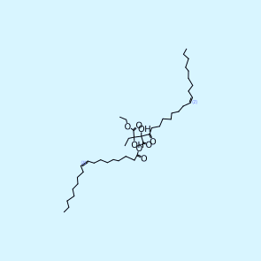 CCCCCCCC/C=C\CCCCCCCC(=O)OC(=O)C(O)(C(=O)CCCCCCC/C=C\CCCCCCCC)C(O)(CC)C(=O)OCC